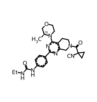 [C-]#[N+]C1(C(=O)N2CCc3c(nc(-c4ccc(NC(=O)NCC)cc4)nc3N3CCOC[C@@H]3C)C2)CC1